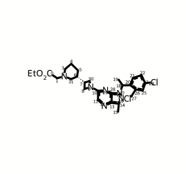 CCOC(=O)CN1CCC[C@H](C2CN(c3cnc4c(C)nn(C(C)c5ccc(Cl)cc5Cl)c4n3)C2)C1